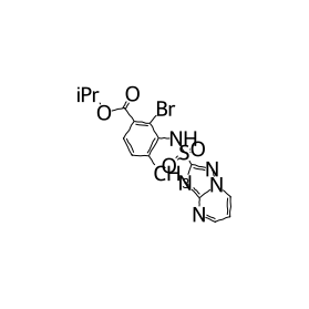 Cc1ccc(C(=O)OC(C)C)c(Br)c1NS(=O)(=O)c1nc2ncccn2n1